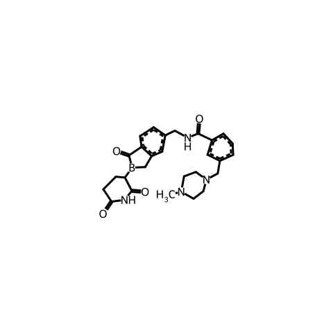 CN1CCN(Cc2cccc(C(=O)NCc3ccc4c(c3)CB(C3CCC(=O)NC3=O)C4=O)c2)CC1